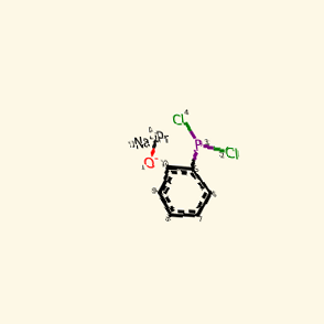 CC(C)[O-].ClP(Cl)c1ccccc1.[Na+]